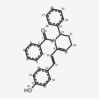 O=C(c1ccccc1)N1C(C=Cc2ccc(O)cc2)=CCCC1c1ccccc1